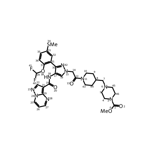 COC(=O)N1CCN(CC2CCN(C(=O)Cn3cc(NC(=O)c4cnn5cccnc45)c(-c4cc(SC)ccc4OC(F)F)n3)CC2)CC1